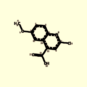 COc1ccc2nc(Cl)cc(C(=O)O)c2c1